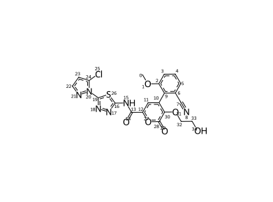 COc1cccc(C#N)c1-c1cc(C(=O)Nc2nnc(-n3nccc3Cl)s2)oc(=O)c1OCCO